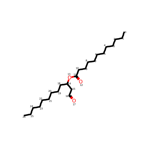 CCCCCCCCCCCC(=O)OC(C[C]=O)CCCCCCCCC